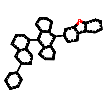 c1ccc(-c2ccc3c(-c4c5ccccc5c(-c5ccc6c(c5)oc5ccccc56)c5ccccc45)cccc3c2)cc1